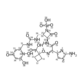 Nc1nc(C(=NOC2(C(=O)O)CCC2)C(=O)N[C@@H]2C(=O)N(S(=O)(=O)O)[C@H]2CNC(=O)NCc2cc(=O)cc(O)n2O)cs1